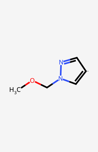 COCn1c[c]cn1